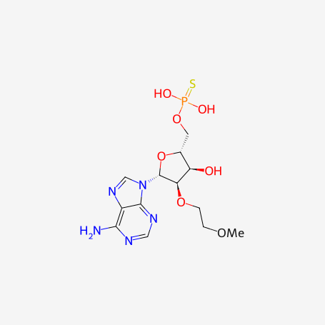 COCCO[C@@H]1[C@H](O)[C@@H](COP(O)(O)=S)O[C@H]1n1cnc2c(N)ncnc21